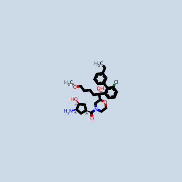 CCc1cccc(-c2c(Cl)cccc2[C@](O)(CCCCOC)C2CN(C(=O)[C@H]3C[C@@H](N)[C@@H](O)C3)CCO2)c1